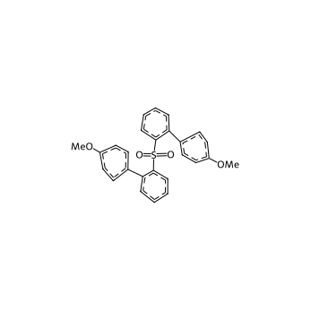 COc1ccc(-c2ccccc2S(=O)(=O)c2ccccc2-c2ccc(OC)cc2)cc1